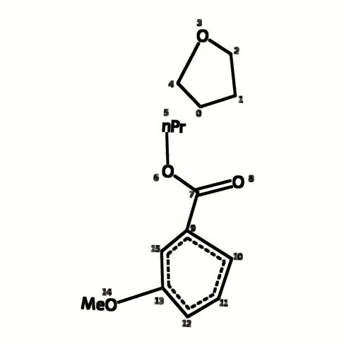 C1CCOC1.CCCOC(=O)c1cccc(OC)c1